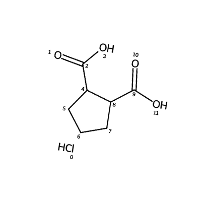 Cl.O=C(O)C1CCCC1C(=O)O